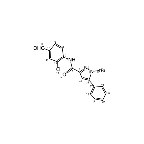 CC(C)(C)n1nc(C(=O)Nc2ccc(C=O)cc2Cl)cc1-c1ccccc1